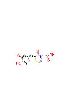 COc1cc(C=C2SC=CN(CC(=O)O)C2=O)cc(C)c1O